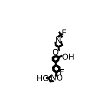 CC(C)(F)CN1CCC(COc2ccc(-c3ccc(C(=O)N4CCC(O)C4)c(F)c3)cc2CO)CC1